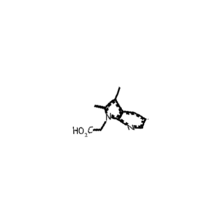 Cc1c(C)n(CC(=O)O)c2nc[c]cc12